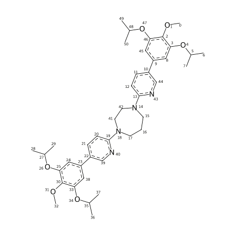 COc1c(OC(C)C)cc(-c2ccc(N3CCCN(c4ccc(-c5cc(OC(C)C)c(OC)c(OC(C)C)c5)cn4)CC3)nc2)cc1OC(C)C